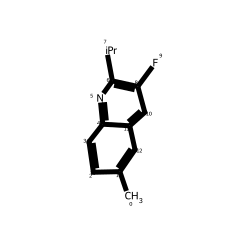 Cc1ccc2nc(C(C)C)c(F)cc2c1